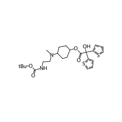 CN(CCNC(=O)OC(C)(C)C)C1CCC(OC(=O)C(O)(c2cccs2)c2cccs2)CC1